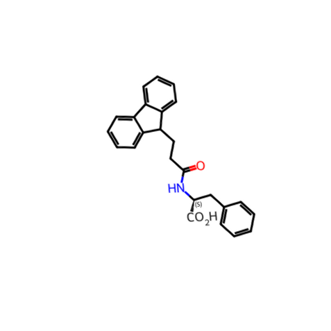 O=C(CCC1c2ccccc2-c2ccccc21)N[C@@H](Cc1ccccc1)C(=O)O